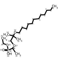 CCCCCCCCCCCCOC(C)(C)COC(C)P(=O)(O)OCC